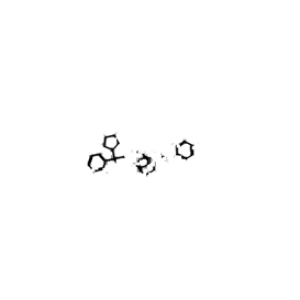 OC(CO[C@@H]1C2CC[N+](COc3ccccc3)(CC2)[C@@H]1Br)(c1ccccc1)C1CCCC1